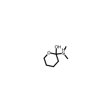 C[SiH](C)C1(O)CCCCO1